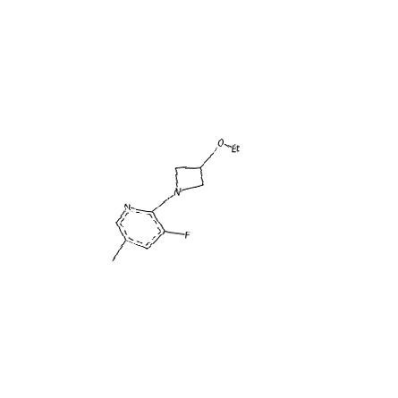 CCOC1CN(c2ncc(C)cc2F)C1